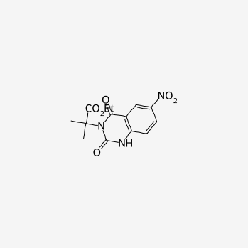 CCOC(=O)C(C)(C)n1c(=O)[nH]c2ccc([N+](=O)[O-])cc2c1=O